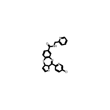 O=C(NCc1ccccn1)c1ccc2c(c1)N=C(c1ccc(Cl)cn1)C1SC=CC1S2